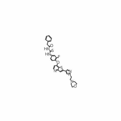 O=C(Cc1ccccc1)NC(=S)Nc1ccc(Oc2ccnc3cc(-c4cnn(CCN5CCOCC5)c4)sc23)c(F)c1